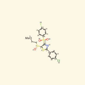 COCC[S+]([O-])c1sc(-c2ccc(Cl)cc2)nc1S(=O)(=O)c1ccc(F)cc1